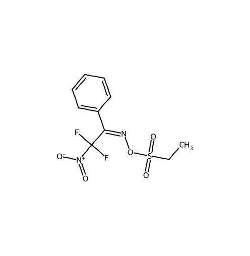 CCS(=O)(=O)ON=C(c1ccccc1)C(F)(F)[N+](=O)[O-]